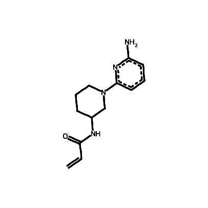 C=CC(=O)NC1CCCN(c2cccc(N)n2)C1